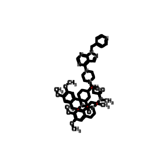 CCN1CCc2cc(OC)c(OC)cc2C1C1CC(C(=O)N2CCN(c3ncnc4c3cnn4Cc3ccncc3)CC2)CCC12c1cc(OC)c(OC)cc1CCN2C(=O)CCN(C)C(=O)CN